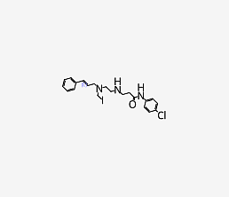 O=C(CCNCCN(CI)C/C=C/c1ccccc1)Nc1ccc(Cl)cc1